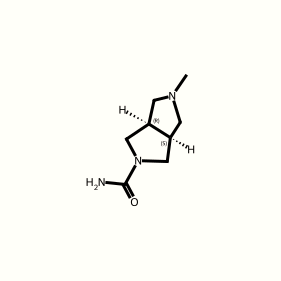 CN1C[C@@H]2CN(C(N)=O)C[C@@H]2C1